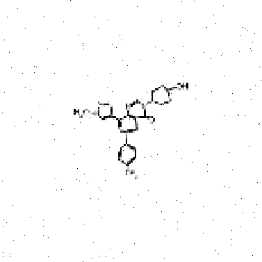 Cn1cc(-c2nc(-c3ccc(C(F)(F)F)cc3)cc3c(=O)n(C4CCC(O)CC4)cnc23)cn1